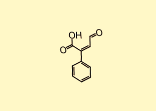 O=CC=C(C(=O)O)c1ccccc1